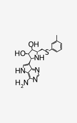 Cc1cccc(SC[C@H]2N[C@@H](c3c[nH]c4c(N)ncnc34)[C@@H](O)[C@H]2O)c1